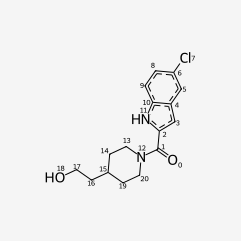 O=C(c1cc2cc(Cl)ccc2[nH]1)N1CCC(CCO)CC1